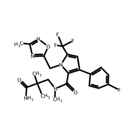 Cc1noc(Cn2c(C(F)(F)F)cc(-c3ccc(F)cc3)c2C(=O)N(C)CC(C)(C)C(N)=O)n1